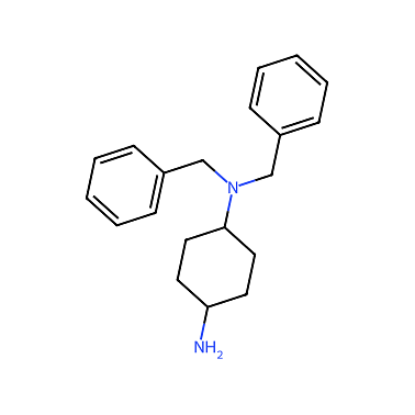 NC1CCC(N(Cc2ccccc2)Cc2ccccc2)CC1